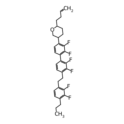 C=CCCC1CCC(c2ccc(-c3ccc(CCc4ccc(CCC)c(F)c4F)c(F)c3F)c(F)c2F)CO1